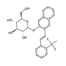 CC(F)(F)c1ccccc1/C=C/c1cc2ccccc2cc1OC1O[C@H](CO)[C@@H](O)[C@H](O)[C@H]1O